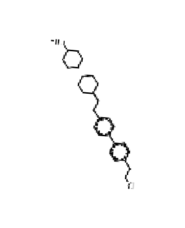 CCCC[C@H]1CC[C@H](C2CCC(CCc3ccc(-c4ccc(CCCl)cc4)cc3)CC2)CC1